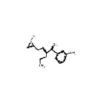 C=C(/C(=C/CC1=CN1C)CCC)c1cccc(N)c1